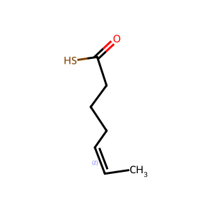 C/C=C\CCCC(=O)S